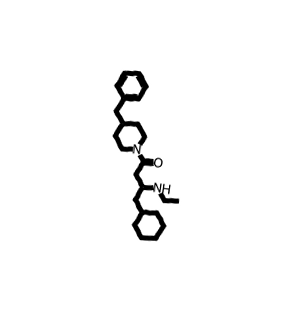 CCNC(CC(=O)N1CCC(Cc2ccccc2)CC1)CC1CCCCC1